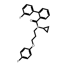 O=C(c1ccccc1-c1cccc(F)c1)N(CCCOc1ccc(F)cc1)C1CC1